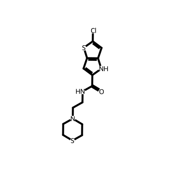 O=C(NCCN1CCSCC1)c1cc2sc(Cl)cc2[nH]1